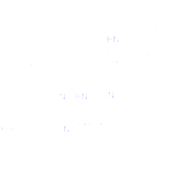 CN(CCc1c[nH]c2ccccc12)C(=S)NC1N=C(c2ccccc2)c2cc(Cl)ccc2N(C)C1=O